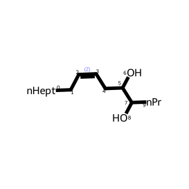 CCCCCCCC/C=C\CC(O)C(O)CCC